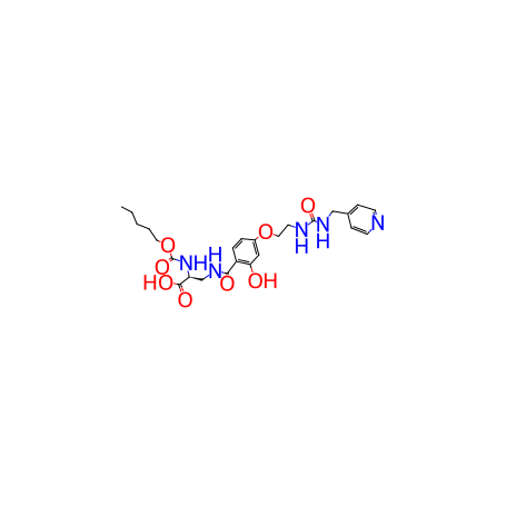 CCCCCOC(=O)N[C@@H](CNC(=O)c1ccc(OCCNC(=O)NCc2ccncc2)cc1O)C(=O)O